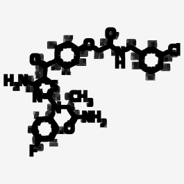 C[C@H](C(N)=O)N(c1ccc(F)cc1)c1nc(N)c(C(=O)c2ccc(OCC(=O)NCc3cccc(Cl)c3)cc2)s1